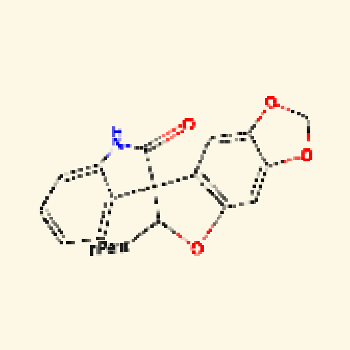 CCCCCC1Oc2cc3c(cc2C12C(=O)Nc1ccccc12)OCO3